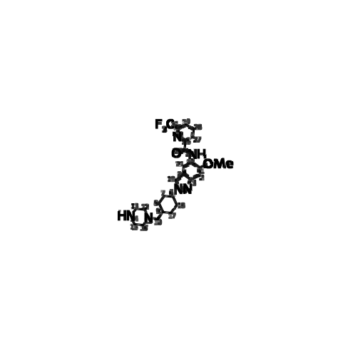 COc1cc2nn([C@H]3CC[C@H](CN4CCNCC4)CC3)cc2cc1NC(=O)c1cccc(C(F)(F)F)n1